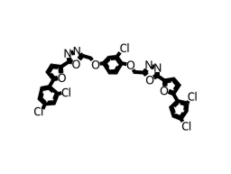 Clc1ccc(-c2ccc(-c3nnc(COc4ccc(OCc5nnc(-c6ccc(-c7ccc(Cl)cc7Cl)o6)o5)c(Cl)c4)o3)o2)c(Cl)c1